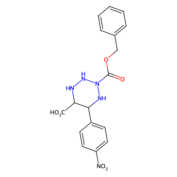 O=C(O)C1NNN(C(=O)OCc2ccccc2)NC1c1ccc([N+](=O)[O-])cc1